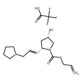 C=CCOC(=O)N1C[C@@H](S)C[C@H]1C=CCN1CCCC1.O=C(O)C(F)(F)F